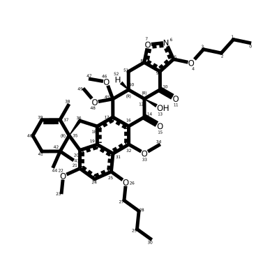 CCCCOc1noc2c1C(=O)[C@]1(O)C(=O)c3c(c4c5c(c(OC)cc(OCCCC)c5c3OC)[C@@]3(C4)C(C)=CCCC3(C)C)C(OC)(OC)[C@@H]1C2